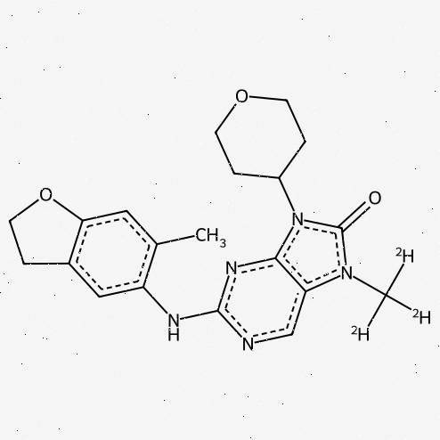 [2H]C([2H])([2H])n1c(=O)n(C2CCOCC2)c2nc(Nc3cc4c(cc3C)OCC4)ncc21